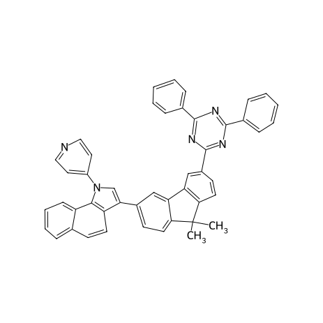 CC1(C)c2ccc(-c3nc(-c4ccccc4)nc(-c4ccccc4)n3)cc2-c2cc(-c3cn(-c4ccncc4)c4c3ccc3ccccc34)ccc21